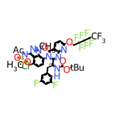 CC(=O)N(c1nn(C)c2c(-n3c([C@H](Cc4cc(F)cc(F)c4)NC(=O)OC(C)(C)C)nc4nc(OCC(F)(F)C(F)(F)C(F)(F)C(F)(F)F)ccc4c3=O)ccc(Cl)c12)S(C)(=O)=O